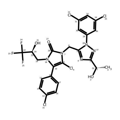 C[C@H](O)c1nc(Cn2c(Cl)c(-c3ccc(Cl)cc3)n(C[C@H](O)C(F)(F)F)c2=O)n(-c2cc(Cl)cc(Cl)c2)n1